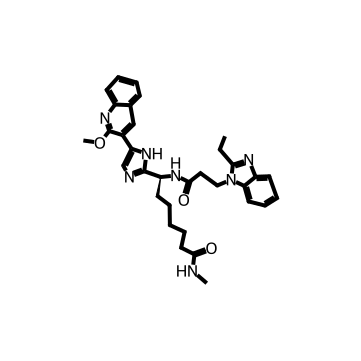 CCc1nc2ccccc2n1CCC(=O)N[C@@H](CCCCCC(=O)NC)c1ncc(-c2cc3ccccc3nc2OC)[nH]1